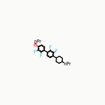 CCCOc1ccc(-c2ccc(C3CCC(CCC)CC3)c(F)c2F)c(F)c1F